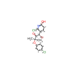 CC(C)(Oc1ccc(Cl)cc1)C(=O)C(Br)c1ccc(O)nc1Cl